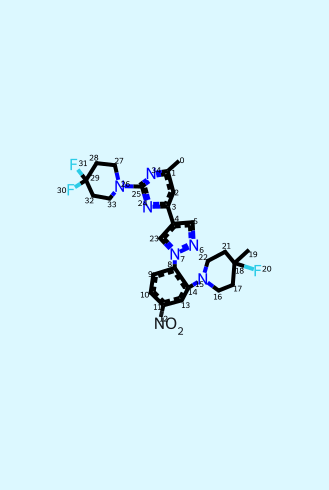 Cc1cc(-c2cnn(-c3ccc([N+](=O)[O-])cc3N3CCC(C)(F)CC3)c2)nc(N2CCC(F)(F)CC2)n1